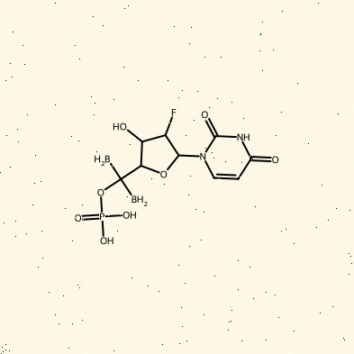 BC(B)(OP(=O)(O)O)C1OC(n2ccc(=O)[nH]c2=O)C(F)C1O